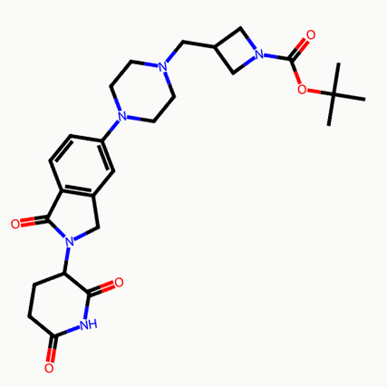 CC(C)(C)OC(=O)N1CC(CN2CCN(c3ccc4c(c3)CN(C3CCC(=O)NC3=O)C4=O)CC2)C1